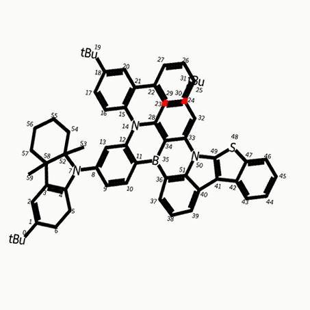 CC(C)(C)C1=CC2=C(CC1)N(c1ccc3c(c1)N(c1ccc(C(C)(C)C)cc1-c1ccccc1)c1cc(C(C)(C)C)cc4c1B3c1cccc3c5c6ccccc6sc5n-4c13)C1(C)CCCCC21C